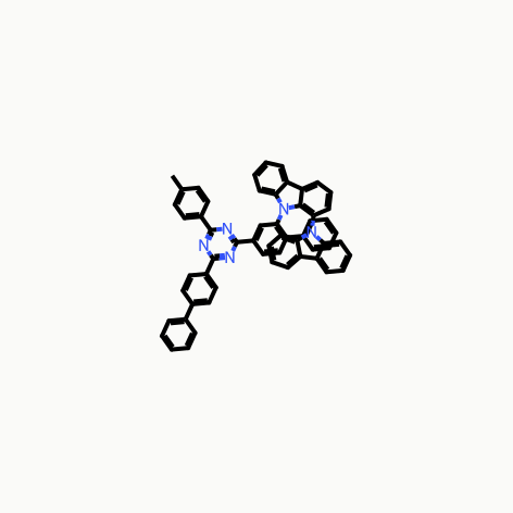 Cc1ccc(-c2nc(-c3ccc(-c4ccccc4)cc3)nc(-c3ccc(-c4ccccc4)c(-n4c5ccccc5c5cccc(-n6c7ccccc7c7ccccc76)c54)c3)n2)cc1